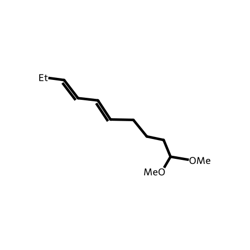 CCC=CC=CCCCC(OC)OC